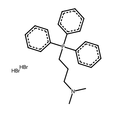 Br.Br.CN(C)CCC[P](c1ccccc1)(c1ccccc1)c1ccccc1